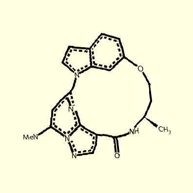 CNc1cc2nc3c(cnn13)C(=O)N[C@H](C)CCOc1ccc3ccn-2c3c1